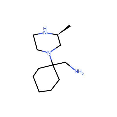 C[C@H]1CN(C2(CN)CCCCC2)CCN1